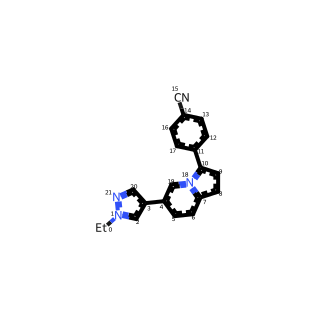 CCn1cc(-c2ccc3ccc(-c4ccc(C#N)cc4)n3c2)cn1